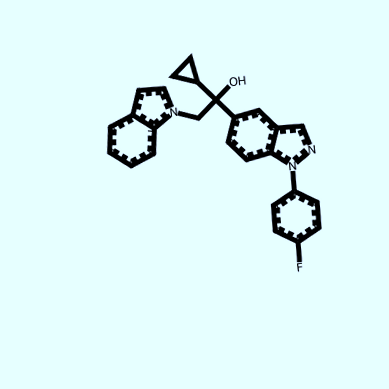 OC(Cn1ccc2ccccc21)(c1ccc2c(cnn2-c2ccc(F)cc2)c1)C1CC1